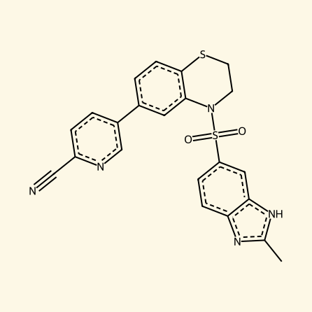 Cc1nc2ccc(S(=O)(=O)N3CCSc4ccc(-c5ccc(C#N)nc5)cc43)cc2[nH]1